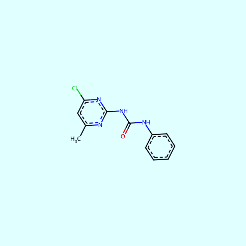 Cc1cc(Cl)nc(NC(=O)Nc2ccccc2)n1